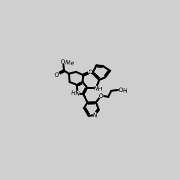 COC(=O)C1CC(=O)c2c([nH]c(-c3ccncc3OCCO)c2Nc2ccccc2)C1